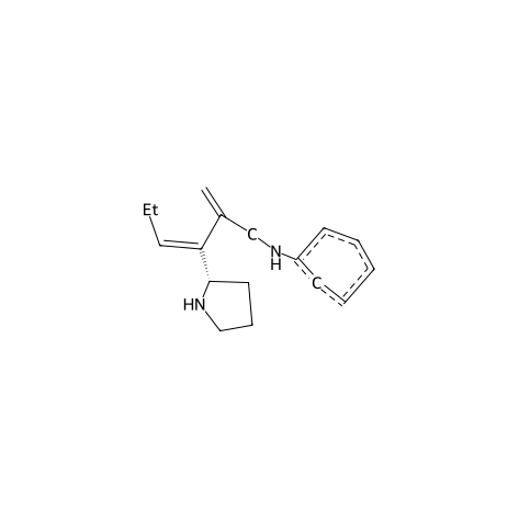 C=C(CNc1ccccc1)/C(=C\CC)[C@@H]1CCCN1